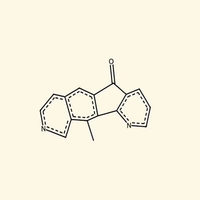 Cc1c2c(cc3ccncc13)C(=O)c1cccnc1-2